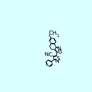 C=Cc1ccc2c(c1)CCc1c-2noc1-c1snc(-c2ccccc2)c1C#N